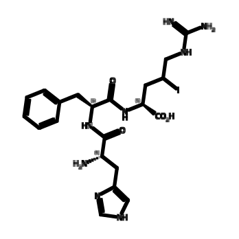 N=C(N)NCC(I)C[C@H](NC(=O)[C@H](Cc1ccccc1)NC(=O)[C@@H](N)Cc1c[nH]cn1)C(=O)O